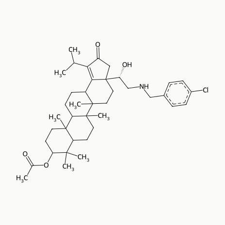 CC(=O)OC1CCC2(C)C(CCC3(C)C2CCC2C4=C(C(C)C)C(=O)CC4([C@H](O)CNCc4ccc(Cl)cc4)CCC23C)C1(C)C